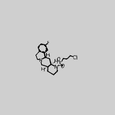 O=S(=O)(CCCCl)N1CCC[C@H]2CN3CCc4ccc(F)cc4[C@@H]3C[C@H]21